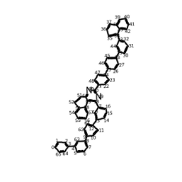 c1ccc(-c2cccc(-c3ccc(-c4cccc(-c5nc(-c6ccc(-c7ccc(-c8cccc(-c9cccc%10ccccc9%10)c8)cc7)cc6)nc6ccc7ccccc7c56)c4)cc3)c2)cc1